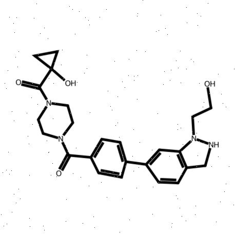 O=C(c1ccc(-c2ccc3c(c2)N(CCO)NC3)cc1)N1CCN(C(=O)C2(O)CC2)CC1